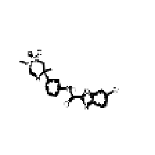 CN1C=NC(C)(c2cccc(NC(=O)c3nc4ccc(Br)cc4o3)c2)CS1(=O)=O